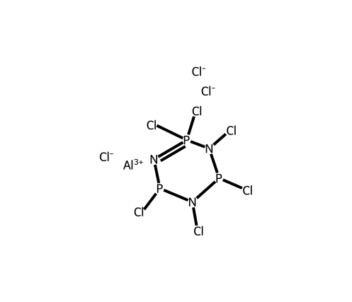 ClN1P(Cl)N=P(Cl)(Cl)N(Cl)P1Cl.[Al+3].[Cl-].[Cl-].[Cl-]